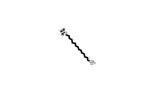 CCCCCCCCCCCCCCCCOS(=O)(=O)[O-].[Li+]